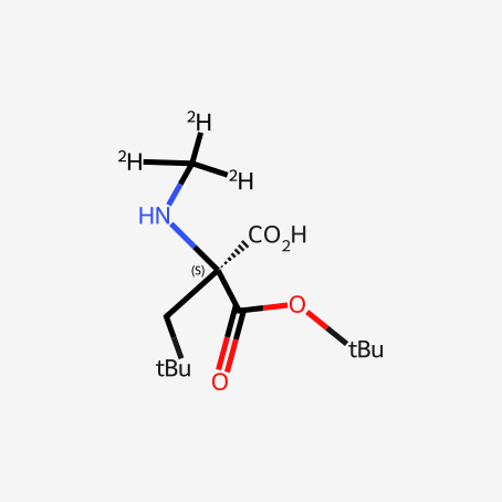 [2H]C([2H])([2H])N[C@@](CC(C)(C)C)(C(=O)O)C(=O)OC(C)(C)C